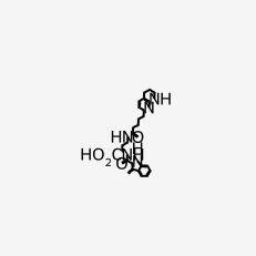 C=C1c2ccccc2NC1C(=O)NC(CCNC(=O)CCCCc1ccc2c(n1)NCCC2)C(=O)O